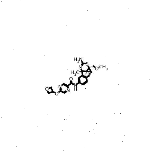 COC[C@]12C[C@H]1[C@@](C)(c1cc(NC(=O)c3cnc(OC4COC4)cn3)ccc1F)N=C(N)S2